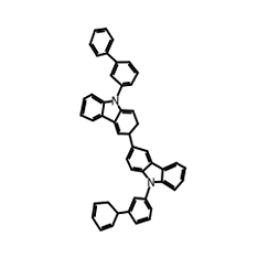 C1=CCC(c2cccc(-n3c4ccccc4c4cc(C5C=c6c(n(-c7cccc(-c8ccccc8)c7)c7ccccc67)=CC5)ccc43)c2)C=C1